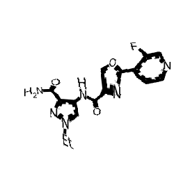 CCn1cc(NC(=O)c2coc(-c3ccncc3F)n2)c(C(N)=O)n1